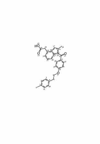 Cc1ccc(CCOc2ccc(C(=O)n3c(C)cc4c(CC(=O)O)cccc43)cc2)cc1